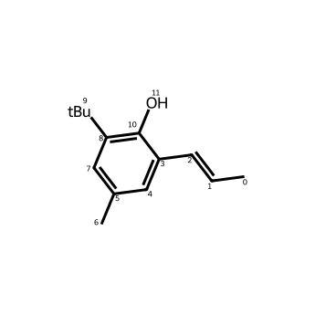 CC=Cc1cc(C)cc(C(C)(C)C)c1O